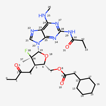 CCC(=O)C[C@@H]1[C@@H](COC(=O)CC2CCCCC2)O[C@@H](n2cnc3c(NC)nc(NC(=O)CC)nc32)[C@]1(C)F